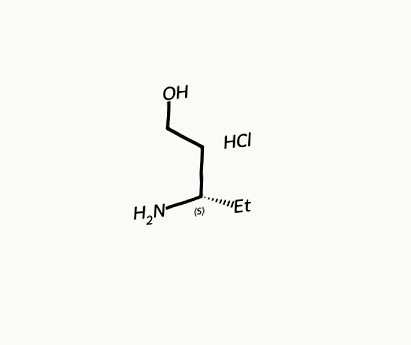 CC[C@H](N)CCO.Cl